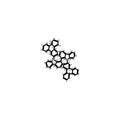 c1ccc2c(c1)c1ccccc1c1cc(-n3c4ccccc4c4cccc(-c5cccc6c7ccccc7n(-c7ccc8c9ccccc9c9ccccc9c8c7)c56)c43)ccc21